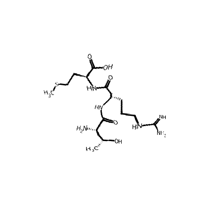 CSCC[C@H](NC(=O)[C@H](CCCNC(=N)N)NC(=O)[C@@H](N)[C@@H](C)O)C(=O)O